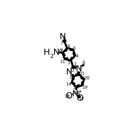 Cn1c(-c2ccc(C#N)c(N)c2)nc2cc([N+](=O)[O-])ccc21